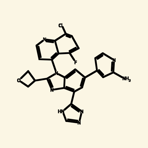 Nc1cc(-c2cc(-c3nnc[nH]3)c3nc(C4COC4)n(-c4ccnc5c(Cl)ccc(F)c45)c3c2)ccn1